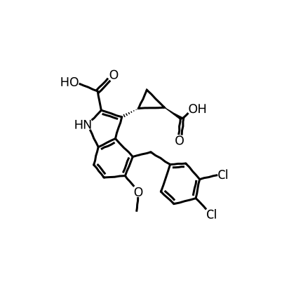 COc1ccc2[nH]c(C(=O)O)c([C@@H]3C[C@H]3C(=O)O)c2c1Cc1ccc(Cl)c(Cl)c1